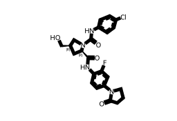 O=C(Nc1ccc(N2CCCC2=O)cc1F)[C@H]1C[C@@H](CO)CN1C(=O)Nc1ccc(Cl)cc1